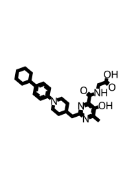 Cc1nc(CC2CCN(c3ccc(C4CCCCC4)cc3)CC2)nc(C(=O)NCC(=O)O)c1O